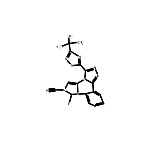 CC(C)(O)c1noc(-c2nnc3n2C2=CN(C#N)C(F)N2c2ccccc2-3)n1